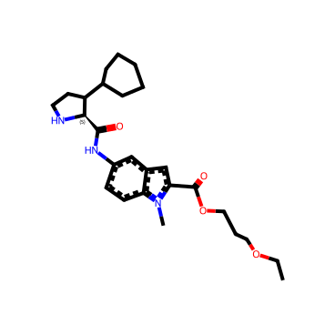 CCOCCCOC(=O)c1cc2cc(NC(=O)[C@H]3NCCC3C3CCCCC3)ccc2n1C